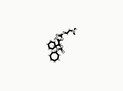 CN(C)CCSc1nnc(C(=O)C2(N(C=O)C3CCCCCC3)CCCCC2)o1